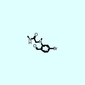 CNC(=O)CN(C)c1cc(Br)ccc1C=O